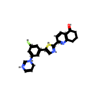 O=C1CCCc2nc(-c3ncc(-c4cc(F)cc(N5C=NC=CC5)c4)s3)ccc21